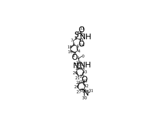 CC(Oc1ccc(CC2SC(=O)NC2=O)cc1)c1nc2ccc(Oc3cccc(N(C)C)c3)cc2[nH]1